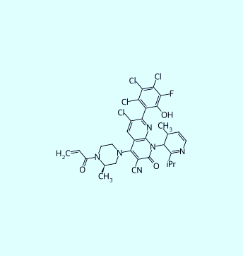 C=CC(=O)N1CCN(c2c(C#N)c(=O)n(C3C(C(C)C)=NC=CC3C)c3nc(-c4c(O)c(F)c(Cl)c(Cl)c4Cl)c(Cl)cc23)C[C@H]1C